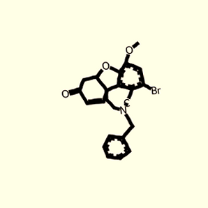 COc1cc(Br)c2c3c1OC1CC(=O)C=CC31CCN(Cc1ccccc1)C2